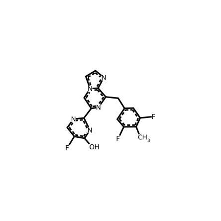 Cc1c(F)cc(Cc2nc(-c3ncc(F)c(O)n3)cn3ccnc23)cc1F